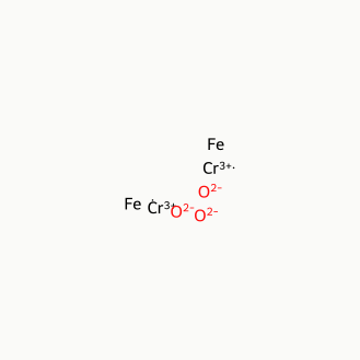 [Cr+3].[Cr+3].[Fe].[Fe].[O-2].[O-2].[O-2]